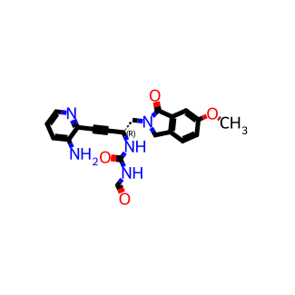 COc1ccc2c(c1)C(=O)N(C[C@@H](C#Cc1ncccc1N)NC(=O)NC=O)C2